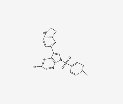 Cc1ccc(S(=O)(=O)n2cc(-c3ccc4c(c3)CCN4)c3nc(Br)cnc32)cc1